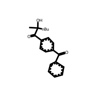 CCCCC(C)(O)C(=O)c1ccc(C(=O)c2ccccc2)cc1